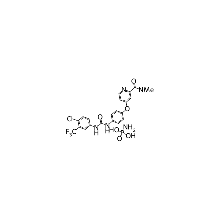 CNC(=O)c1cc(Oc2ccc(NC(=O)Nc3ccc(Cl)c(C(F)(F)F)c3)cc2)ccn1.NP(=O)(O)O